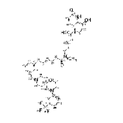 CN(CCNCC(O)c1ccc(O)c2[nH]c(=O)ccc12)C(=O)CCOCCc1cccc(CN2CCC3(CC2)CN(c2cc(C(F)(F)F)ccn2)CCO3)c1